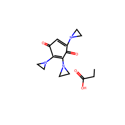 CCC(=O)O.O=C1C=C(N2CC2)C(=O)C(N2CC2)=C1N1CC1